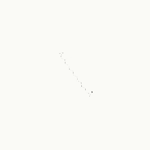 O=[N+]([O-])CC(O)COCCCCOCC(O)CO[N+](=O)[O-]